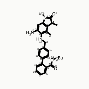 CCN1C(=O)C(C)c2c1cc(N)c(NCc1ccc(-c3ccccc3C(=O)OC(C)(C)C)cc1)c2C